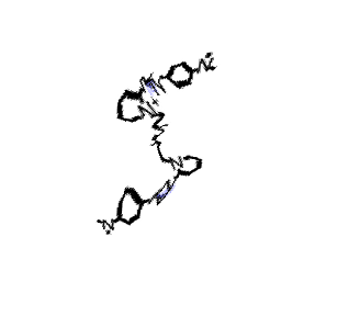 CN(C)c1ccc(/N=N/c2cccc[n+]2CCSSCC[n+]2ccccc2/N=N/c2ccc(N(C)C)cc2)cc1